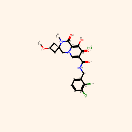 CCO[C@H]1C[C@@]2(Cn3cc(C(=O)NCc4cccc(Cl)c4F)c(=O)c(O)c3C(=O)N2CC)C1.Cl